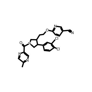 Cc1cnc(C(=O)N2CC(CCOc3ccc(C#N)cn3)C(c3ccc(Cl)c(Cl)c3)C2)cn1